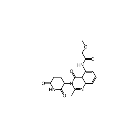 COCC(=O)NC1=CC=CC2N=C(C)N(C3CCC(=O)NC3=O)C(=O)C12